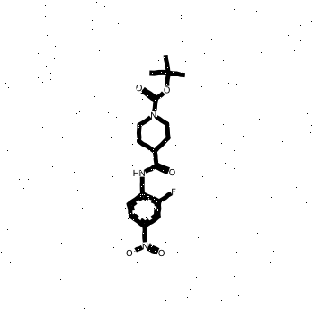 CC(C)(C)OC(=O)N1CCC(C(=O)Nc2ccc([N+](=O)[O-])cc2F)CC1